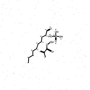 C=C(C)C(=O)OO.CCCCCCCCCC=O.O=P(O)(O)O